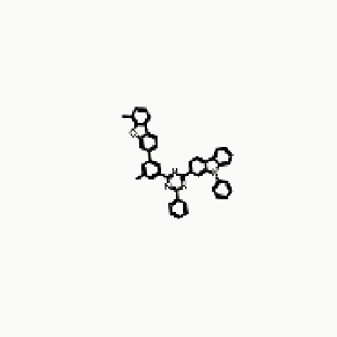 Cc1cc(-c2ccc3c(c2)oc2c(C)cccc23)cc(-c2nc(-c3ccccc3)nc(-c3ccc4c5ccccc5n(-c5ccccc5)c4c3)n2)c1